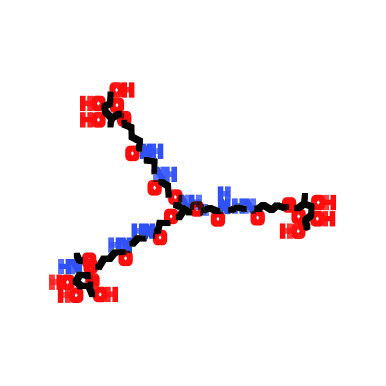 CC(=O)NC1C(OCCCCC(=O)NCCCNC(=O)CCOCC(N)(COCCC(=O)NCCCNC(=O)CCCCOC2OC(CO)C(O)C(O)C2C)COCCC(=O)NCCCNC(=O)CCCCOC2OC(CO)C(O)C(O)C2C)OC(CO)C(O)C1O